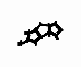 CC(C)c1nc2c([nH]1)Cc1ccnn1-2